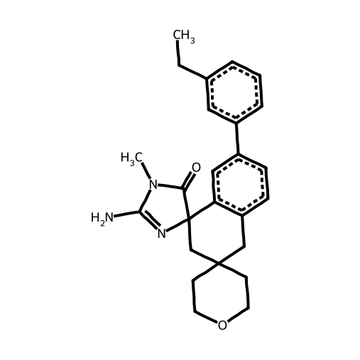 CCc1cccc(-c2ccc3c(c2)C2(CC4(CCOCC4)C3)N=C(N)N(C)C2=O)c1